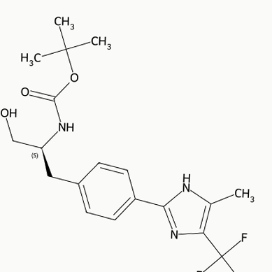 Cc1[nH]c(-c2ccc(C[C@@H](CO)NC(=O)OC(C)(C)C)cc2)nc1C(F)(F)F